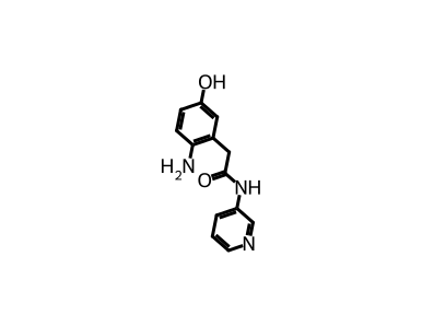 Nc1ccc(O)cc1CC(=O)Nc1cccnc1